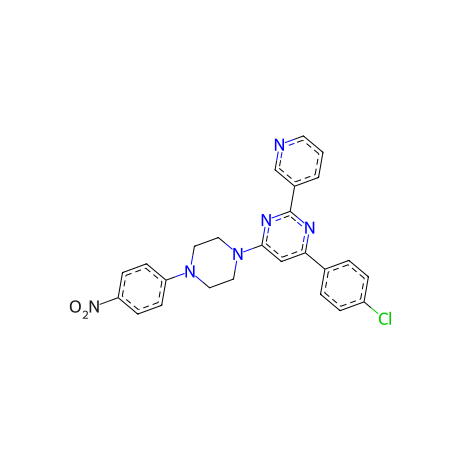 O=[N+]([O-])c1ccc(N2CCN(c3cc(-c4ccc(Cl)cc4)nc(-c4cccnc4)n3)CC2)cc1